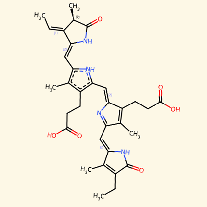 C/C=C1/C(=C/c2[nH]c(/C=C3N=C(/C=C4\NC(=O)C(CC)=C4C)C(C)=C\3CCC(=O)O)c(CCC(=O)O)c2C)NC(=O)[C@@H]1C